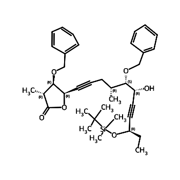 CC[C@H](C#C[C@@H](O)[C@@H](OCc1ccccc1)[C@H](C)CC#C[C@H]1OC(=O)[C@H](C)[C@H]1OCc1ccccc1)O[Si](C)(C)C(C)(C)C